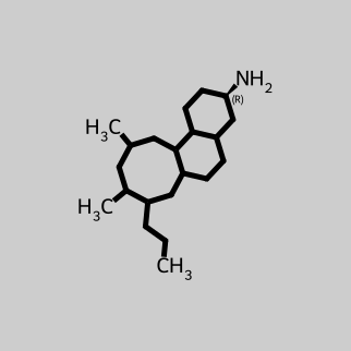 CCCC1CC2CCC3C[C@H](N)CCC3C2CC(C)CC1C